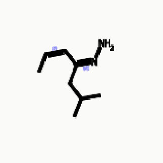 C/C=C\C(CC(C)C)=N/N